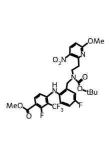 COC(=O)c1ccc(Nc2ccc(F)cc2CN(CCc2nc(OC)ccc2[N+](=O)[O-])C(=O)OC(C)(C)C)c(C(F)(F)F)c1F